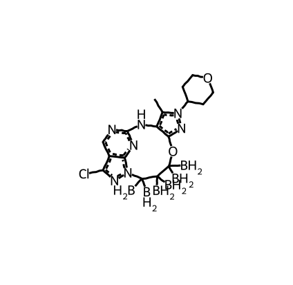 BC1(B)Oc2nn(C3CCOCC3)c(C)c2Nc2ncc3c(Cl)nn(c3n2)C(B)(B)C1(B)B